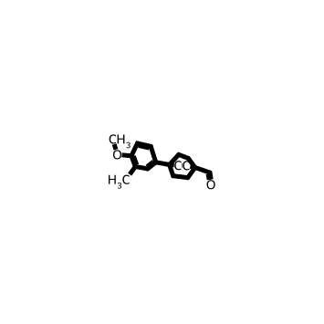 COc1ccc(C23CCC(C=O)(CC2)CC3)cc1C